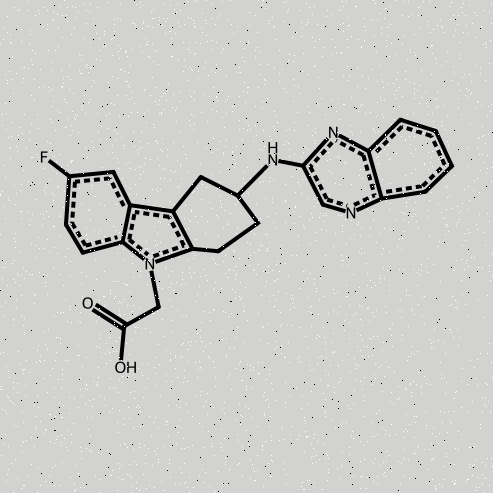 O=C(O)Cn1c2c(c3cc(F)ccc31)CC(Nc1cnc3ccccc3n1)CC2